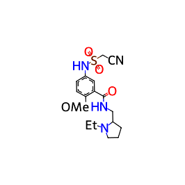 CCN1CCCC1CNC(=O)c1cc(NS(=O)(=O)CC#N)ccc1OC